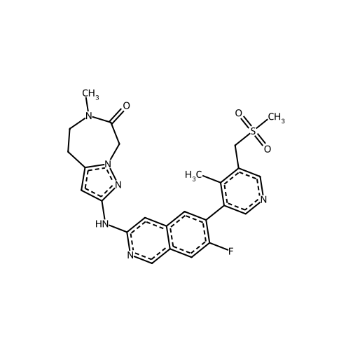 Cc1c(CS(C)(=O)=O)cncc1-c1cc2cc(Nc3cc4n(n3)CC(=O)N(C)CC4)ncc2cc1F